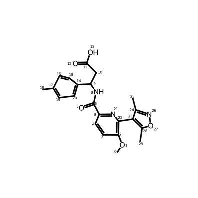 COc1ccc(C(=O)NC(CC(=O)O)c2ccc(C)cc2)nc1-c1c(C)noc1C